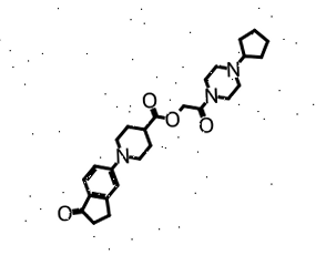 O=C1CCc2cc(N3CCC(C(=O)OCC(=O)N4CCN(C5CCCC5)CC4)CC3)ccc21